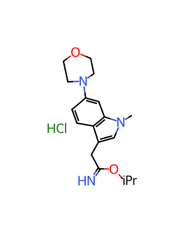 CC(C)OC(=N)Cc1cn(C)c2cc(N3CCOCC3)ccc12.Cl